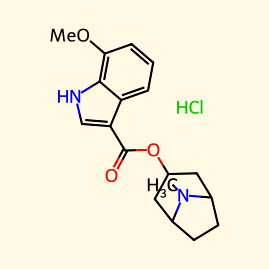 COc1cccc2c(C(=O)OC3CC4CCC(C3)N4C)c[nH]c12.Cl